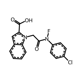 O=C(O)c1cc2ccccc2n1CC(=O)N(F)c1ccc(Cl)cc1